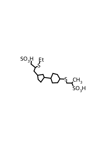 CCSC(CC1CCC(C2CCC(SCC(C)S(=O)(=O)O)CC2)C1)CS(=O)(=O)O